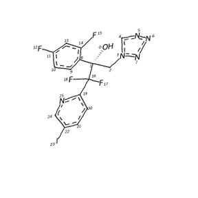 O[C@@](Cn1cnnn1)(c1ccc(F)cc1F)C(F)(F)c1ccc(I)cn1